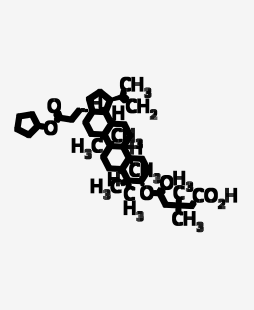 C=C(C)[C@@H]1CC[C@]2(CCC(=O)OC3CCCC3)CC[C@]3(C)[C@H](CC[C@@H]4[C@@]5(C)CC[C@H](OC(=O)CC(C)(C)CC(=O)O)C(C)(C)[C@@H]5CC[C@]43C)[C@@H]12